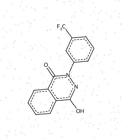 O=c1c2ccccc2c(O)nn1-c1cccc(C(F)(F)F)c1